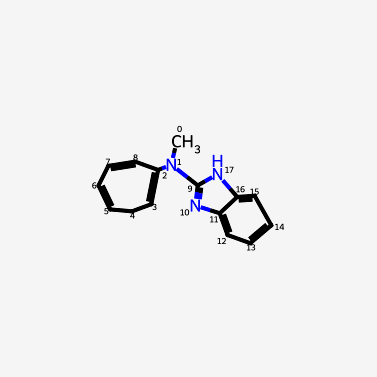 CN(C1=CCC=CC=C1)c1nc2ccccc2[nH]1